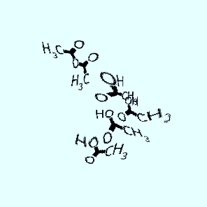 CC(=O)O.CC(=O)O.CC(=O)O.CC(=O)O.CC(=O)OC(C)=O